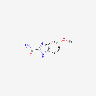 CCOc1ccc2[nH]c(C(N)=O)nc2c1